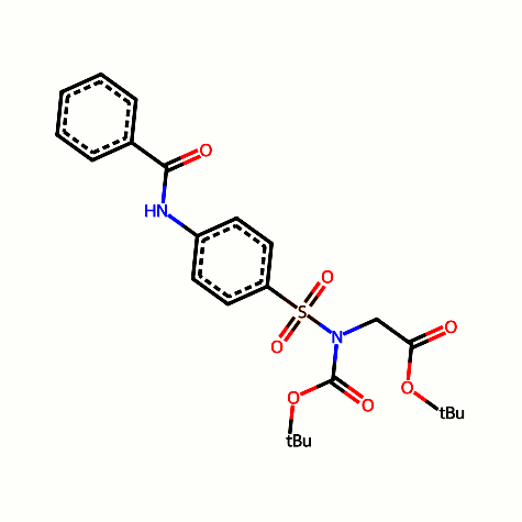 CC(C)(C)OC(=O)CN(C(=O)OC(C)(C)C)S(=O)(=O)c1ccc(NC(=O)c2ccccc2)cc1